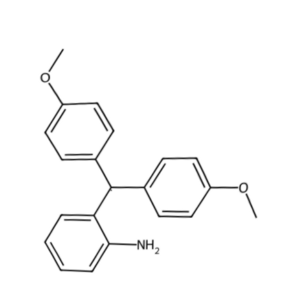 COc1ccc([C](c2ccc(OC)cc2)c2ccccc2N)cc1